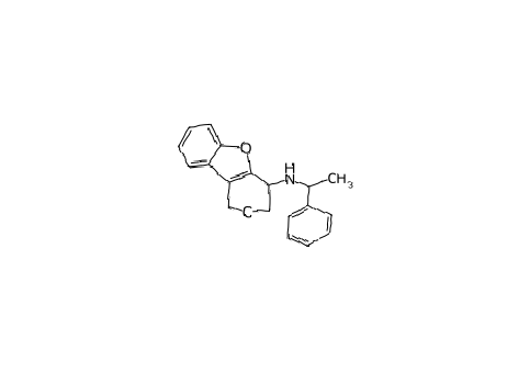 CC(NC1CCCc2c1oc1ccccc21)c1ccccc1